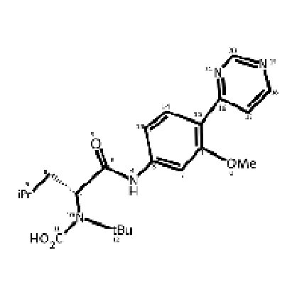 COc1cc(NC(=O)[C@@H](CC(C)C)N(C(=O)O)C(C)(C)C)ccc1-c1ccncn1